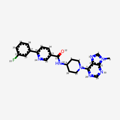 Cn1cnc2c(N3CCC(NC(=O)c4ccc(-c5cccc(F)c5)nc4)CC3)ncnc21